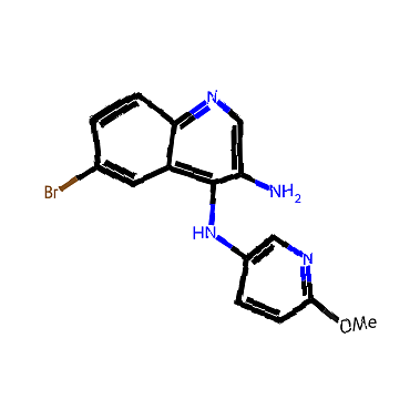 COc1ccc(Nc2c(N)cnc3ccc(Br)cc23)cn1